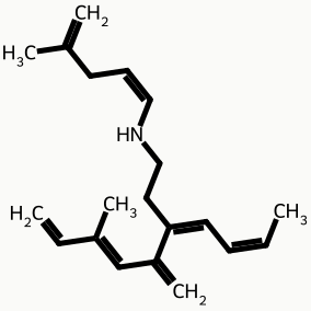 C=C/C(C)=C/C(=C)/C(=C\C=C/C)CCN/C=C\CC(=C)C